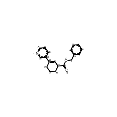 O=C(OCc1ccccc1)C1C=C(c2cccnc2)CCC1